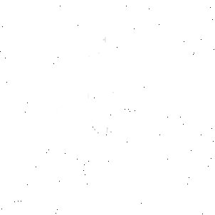 Cc1ccccc1-c1cc(-c2ccccc2OCCCC(=O)O)nn1-c1ccccc1